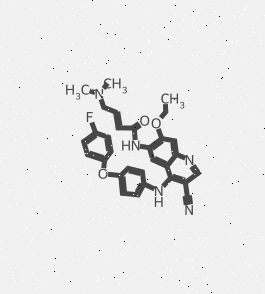 CCOc1cc2ncc(C#N)c(Nc3ccc(Oc4ccc(F)cc4)cc3)c2cc1NC(=O)C=CCN(C)C